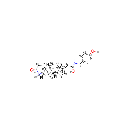 COc1ccc(CNC(=O)C[C@H]2CC[C@H]3[C@@H]4CC[C@H]5N(C)C(=O)C=C[C@]5(C)[C@H]4CC[C@]23C)cc1